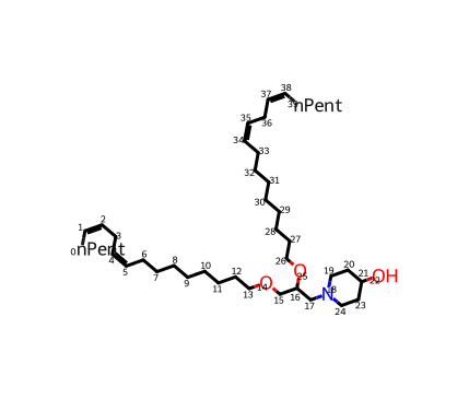 CCCCC/C=C\C/C=C\CCCCCCCCOCC(CN1CCC(O)CC1)OCCCCCCCC/C=C\C/C=C\CCCCC